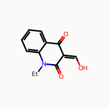 CCN1C(=O)/C(=C\O)C(=O)c2ccccc21